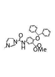 COC(=O)c1cc(NC(=O)N2C=CN(C)C=CC2)ccc1OC(c1ccccc1)c1ccccc1